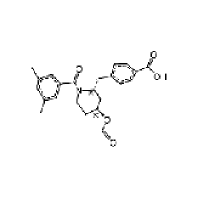 Cc1cc(C)cc(C(=O)N2CC[C@H](OC=O)C[C@H]2Cc2ccc(C(=O)O)cc2)c1